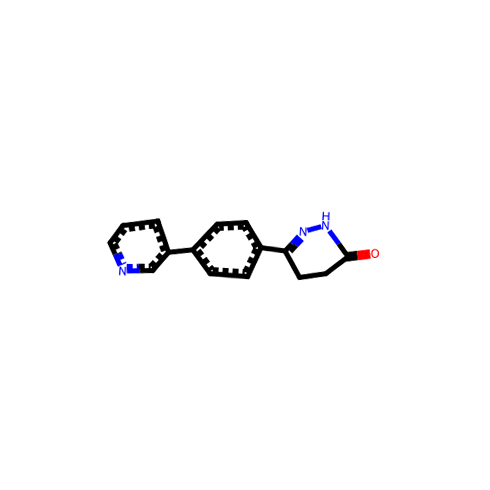 O=C1CCC(c2ccc(-c3cccnc3)cc2)=NN1